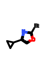 CCc1nc(C2CC2)co1